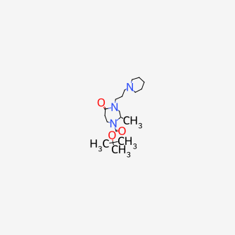 CC1CN(CCCN2CCCCC2)C(=O)CCN1C(=O)OC(C)(C)C